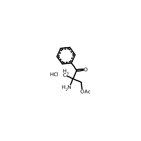 CC(=O)OCC(C)(N)C(=O)c1ccccc1.Cl